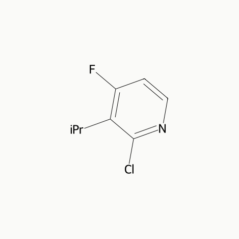 CC(C)c1c(F)ccnc1Cl